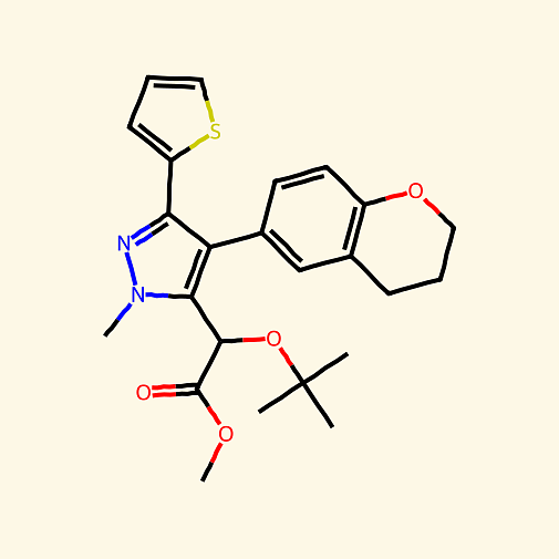 COC(=O)C(OC(C)(C)C)c1c(-c2ccc3c(c2)CCCO3)c(-c2cccs2)nn1C